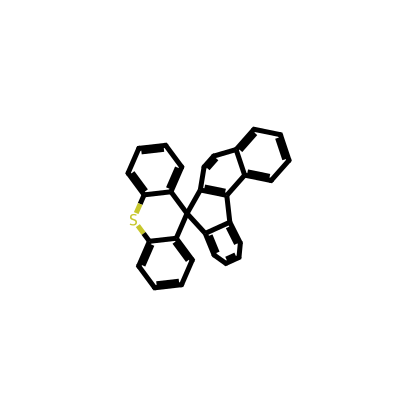 c1ccc2c(c1)Sc1ccccc1C21c2ccccc2-c2c1ccc1ccccc21